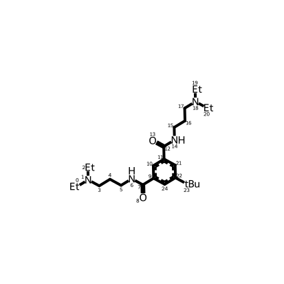 CCN(CC)CCCNC(=O)c1cc(C(=O)NCCCN(CC)CC)cc(C(C)(C)C)c1